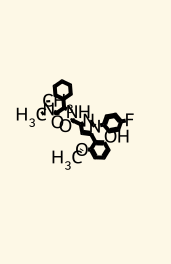 COc1cccc(O)c1-c1cc(C(=O)NC(C(=O)N(C)C)C2CCCCC2)nn1C1=C=C=C(F)C=C1